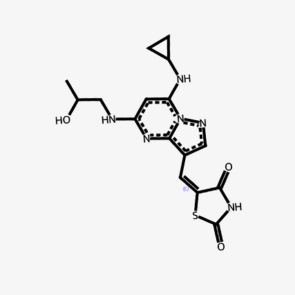 CC(O)CNc1cc(NC2CC2)n2ncc(/C=C3/SC(=O)NC3=O)c2n1